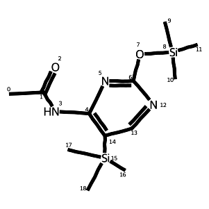 CC(=O)Nc1nc(O[Si](C)(C)C)ncc1[Si](C)(C)C